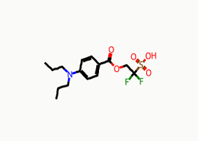 CCCN(CCC)c1ccc(C(=O)OCC(F)(F)S(=O)(=O)O)cc1